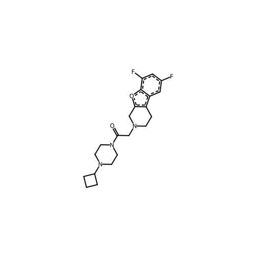 O=C(CN1CCc2c(oc3c(F)cc(F)cc23)C1)N1CCN(C2CCC2)CC1